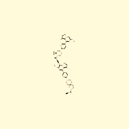 C#CC(=O)N1CCC2(CCN(c3ccc(-c4cc(OCC)c(C#CC(=O)N5CCN(c6ccc(-c7cc(OCC)cn8ncc(C#N)c78)cn6)CC56CC6)n5ncc(C#N)c45)cn3)CC2)C1